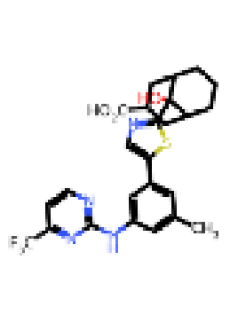 Cc1cc(Nc2nccc(C(F)(F)F)n2)cc(-c2cnc(C3(O)C4CCCC3CC(C(=O)O)C4)s2)c1